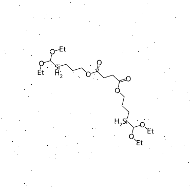 CCOC(OCC)[SiH2]CCCOC(=O)CCC(=O)OCCC[SiH2]C(OCC)OCC